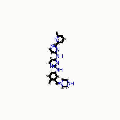 Cc1cccc(-c2nccc(Nc3ccnc(Nc4ccc(C)c(CN5CCNCC5)c4)n3)n2)n1